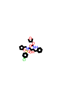 O=C(NC(Cc1ccccc1)[C@@H](O)CN(CC1CCCC1)S(=O)(=O)c1ccc(Cl)cc1)O[C@H]1CCOC1